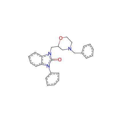 O=c1n(CC2CN(Cc3ccccc3)CCO2)c2ccccc2n1-c1ccccc1